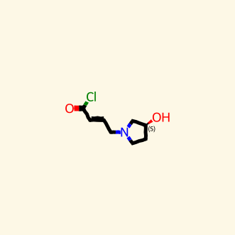 O=C(Cl)C=CCN1CC[C@H](O)C1